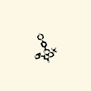 O=C(CN1c2nc(N3CC4CC3CO4)cc(=O)n2CC[C@H]1C(F)(F)F)c1ccc(N2CCOCC2)cc1